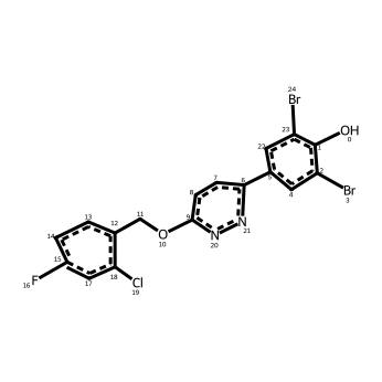 Oc1c(Br)cc(-c2ccc(OCc3ccc(F)cc3Cl)nn2)cc1Br